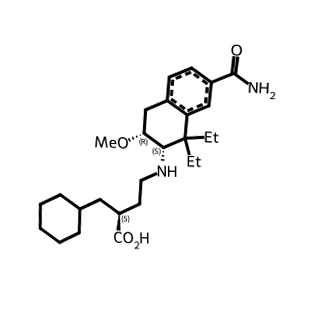 CCC1(CC)c2cc(C(N)=O)ccc2C[C@@H](OC)[C@H]1NCC[C@H](CC1CCCCC1)C(=O)O